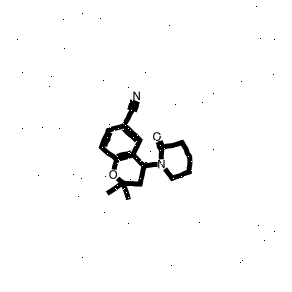 CC1(C)CC(N2CCCCC2=O)c2cc(C#N)ccc2O1